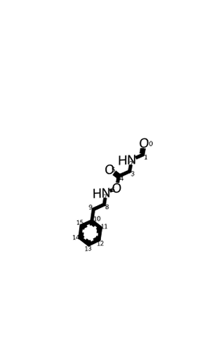 O=CNCC(=O)ONCCc1ccccc1